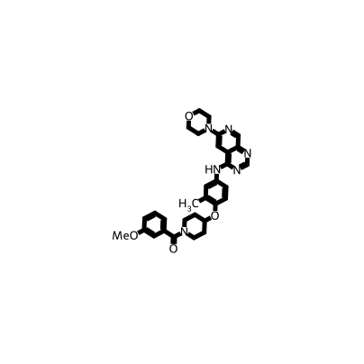 COc1cccc(C(=O)N2CCC(Oc3ccc(Nc4ncnc5cnc(N6CCOCC6)cc45)cc3C)CC2)c1